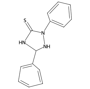 S=C1NC(c2ccccc2)NN1c1ccccc1